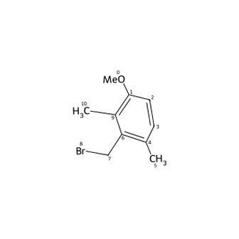 COc1ccc(C)c(CBr)c1C